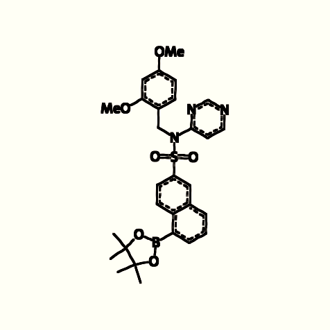 COc1ccc(CN(c2ccncn2)S(=O)(=O)c2ccc3c(B4OC(C)(C)C(C)(C)O4)cccc3c2)c(OC)c1